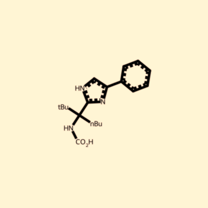 CCCCC(NC(=O)O)(c1nc(-c2ccccc2)c[nH]1)C(C)(C)C